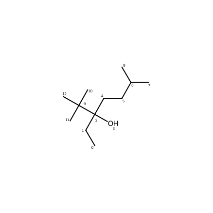 CCC(O)(CCC(C)C)C(C)(C)C